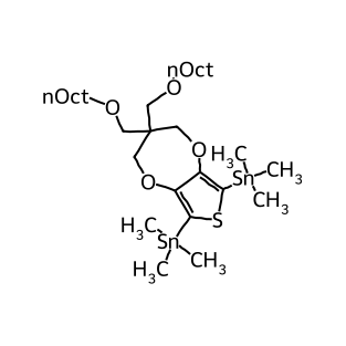 CCCCCCCCOCC1(COCCCCCCCC)COc2[c]([Sn]([CH3])([CH3])[CH3])s[c]([Sn]([CH3])([CH3])[CH3])c2OC1